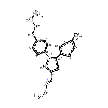 CO/N=C/c1cc(-c2ccc(C)cc2)n(-c2ccc(SOON)cc2)n1